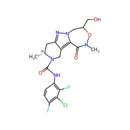 C[C@@H]1Cc2nn3c(c2CN1C(=O)Nc1ccc(F)c(Cl)c1F)C(=O)N(C)OC(CO)C3